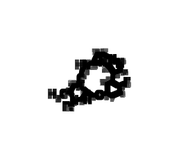 CCN1C[C@H]2COc3ccc(F)c(c3)-c3cnn4ccc(nc34)NCCN2C[C@H]1C